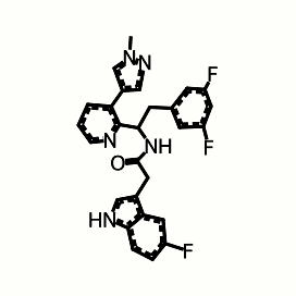 Cn1cc(-c2cccnc2C(Cc2cc(F)cc(F)c2)NC(=O)Cc2c[nH]c3ccc(F)cc23)cn1